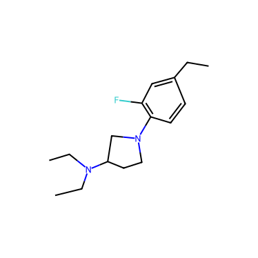 CCc1ccc(N2CCC(N(CC)CC)C2)c(F)c1